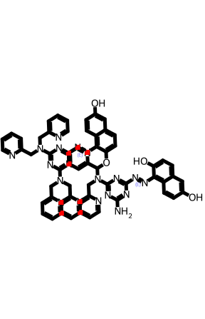 Nc1nc(/N=N/c2c(O)ccc3cc(O)ccc23)nc(N(Cc2ccccn2)C(Oc2ccc3cc(O)ccc3c2/N=N/c2nc(N(Cc3ccccn3)Cc3ccccn3)nc(N(Cc3ccccn3)Cc3ccccn3)n2)c2ccccn2)n1